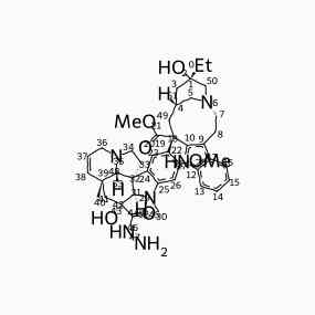 CC[C@]1(O)C[C@@H]2C[N@@](CCc3c([nH]c4ccccc34)[C@@](C(=O)OC)(c3cc4c(cc3OC)N(C)[C@@H]3[C@]45CCN4CC=C[C@@](C)(C[C@]3(O)C(=O)NN)[C@H]45)C2)C1